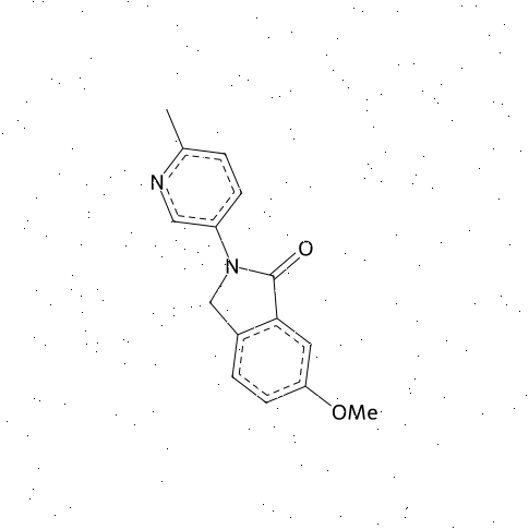 COc1ccc2c(c1)C(=O)N(c1ccc(C)nc1)C2